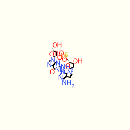 Nc1nc2c(ncn2[C@@H]2O[C@H](CO)C[C@H]2OP(O)(=S)OC[C@H]2OC(n3ccc4c(N)ncnc43)C[C@@H]2O)c(=O)[nH]1